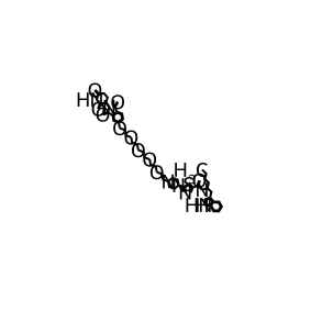 CCCCC(Cc1c[nH]c2ccccc12)NC(=O)c1cnc(N2CCN(CCOCCOCCOCCOCCOc3ccc4c(c3)C(=O)N(C3CCC(=O)NC3=O)C4=O)CC2)s1